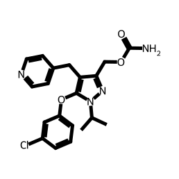 CC(C)n1nc(COC(N)=O)c(Cc2ccncc2)c1Oc1cccc(Cl)c1